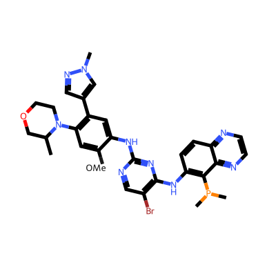 COc1cc(N2CCOCC2C)c(-c2cnn(C)c2)cc1Nc1ncc(Br)c(Nc2ccc3nccnc3c2P(C)C)n1